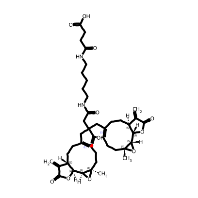 C=C1C(=O)O[C@H]2[C@H]1CC/C(CC(CC(=O)NCCCCCNC(=O)CCC(=O)O)(C/C1=C/CC[C@@]3(C)O[C@H]3[C@H]3OC(=O)C(=C)[C@@H]3CC1)C(=O)O)=C\CC[C@@]1(C)O[C@@H]21